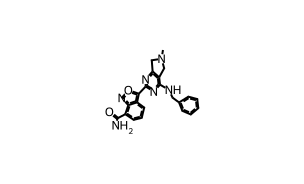 CN1Cc2nc(-c3onc4c(C(N)=O)cccc34)nc(NCc3ccccc3)c2C1